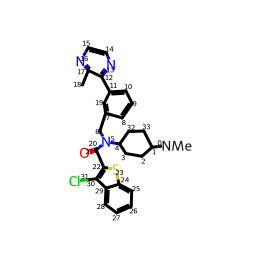 CNC1CCC(N(Cc2cccc(-c3nccnc3C)c2)C(=O)c2sc3ccccc3c2Cl)CC1